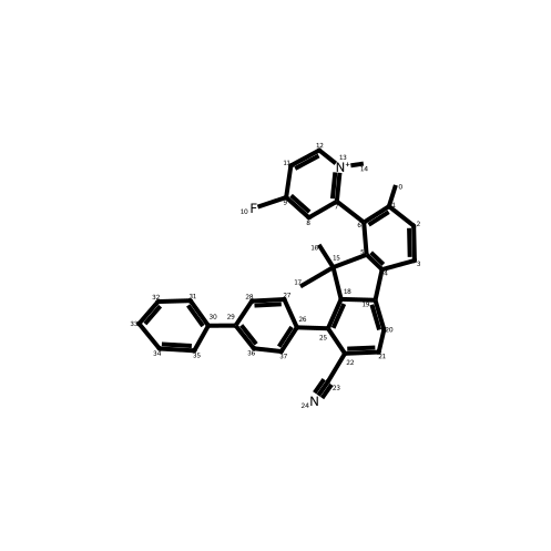 Cc1ccc2c(c1-c1cc(F)cc[n+]1C)C(C)(C)c1c-2ccc(C#N)c1-c1ccc(-c2ccccc2)cc1